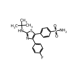 CC(C)(C)Nc1nc(-c2ccc(F)cc2)c(-c2ccc(S(N)(=O)=O)cc2)s1